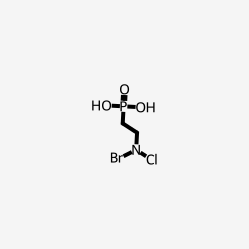 O=P(O)(O)CCN(Cl)Br